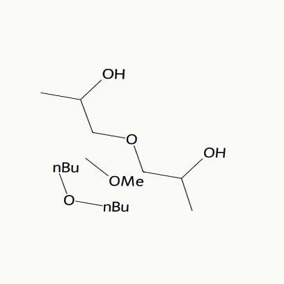 CC(O)COCC(C)O.CCCCOCCCC.COC